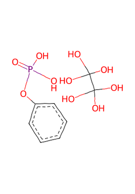 O=P(O)(O)Oc1ccccc1.OC(O)(O)C(O)(O)O